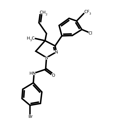 C=CCC1(C)CN(C(=O)Nc2ccc(Br)cc2)N=C1c1ccc(C(F)(F)F)c(Cl)c1